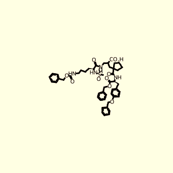 CS(=O)(=O)N[C@@H](CCCCNC(=O)OCc1ccccc1)C(=O)NCC(CC1(C(=O)N[C@@H](Cc2ccc(OCc3ccccc3)cc2)C(=O)OCc2ccccc2)CCCC1)C(=O)O